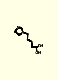 OC(O)=CCCCN1C=NCC1